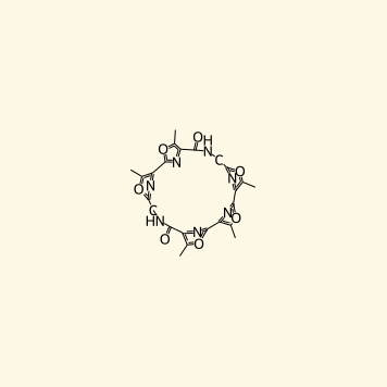 Cc1oc2nc1C(=O)NCc1nc(c(C)o1)-c1nc(c(C)o1)-c1nc(c(C)o1)C(=O)NCc1nc-2c(C)o1